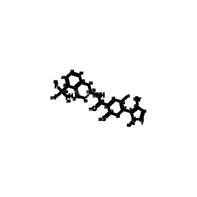 CC1=C(c2c(Br)cnn2C)CC(=S)C(C(=O)N[C@H](CN)Cc2cccc(C(F)(F)F)c2)=C1